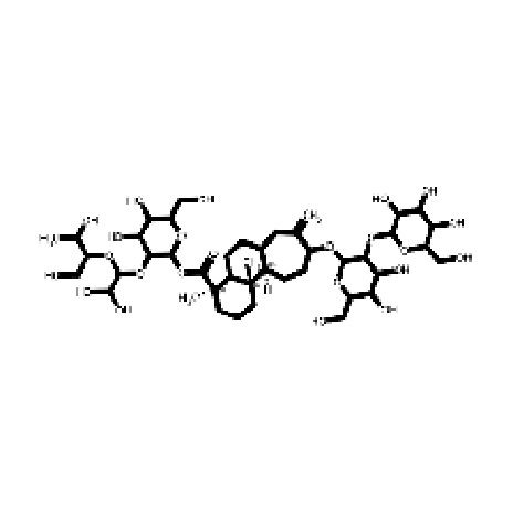 C=C1CC2CCC3[C@](C)(C(=O)OC4OC(CO)C(O)C(O)C4OC(OC(CO)C(C)O)C(O)O)CCC[C@@]3(C)[C@@H]2CCC1OC1OC(CO)C(O)C(O)C1OC1OC(CO)C(O)C(O)C1O